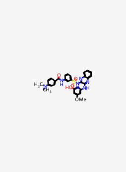 COc1cc(O)cc(Nc2nc3ccccc3nc2NS(=O)(=O)c2cccc(NC(=O)c3ccc(N(C)C)cc3)c2)c1